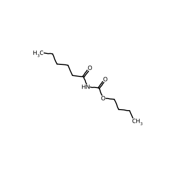 CCCCCC(=O)NC(=O)OCCCC